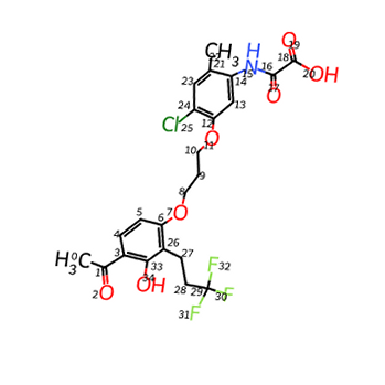 CC(=O)c1ccc(OCCCOc2cc(NC(=O)C(=O)O)c(C)cc2Cl)c(CCC(F)(F)F)c1O